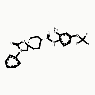 Nc1cc(OC(F)(F)F)ccc1NC(=O)[C@H]1CC[C@]2(CC1)CN(c1ccccc1)C(=O)O2